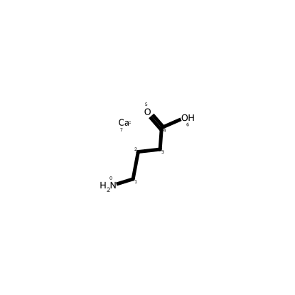 NCCCC(=O)O.[Ca]